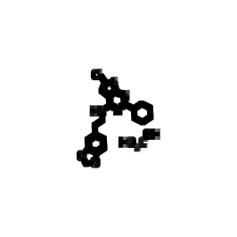 Clc1cc2c(NCCc3ccc4c(c3)OCO4)nc(C3CCCCC3)nc2s1.O=C(O)O